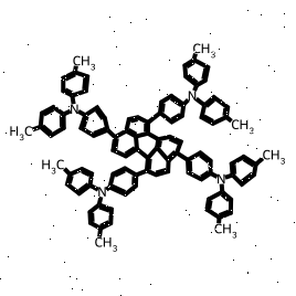 Cc1ccc(N(c2ccc(C)cc2)c2ccc(-c3ccc4c5c(-c6ccc(N(c7ccc(C)cc7)c7ccc(C)cc7)cc6)ccc6c(-c7ccc(N(c8ccc(C)cc8)c8ccc(C)cc8)cc7)ccc(c7c(-c8ccc(N(c9ccc(C)cc9)c9ccc(C)cc9)cc8)ccc3c47)c65)cc2)cc1